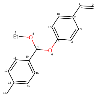 C=Cc1ccc(OC(OCC)c2ccc(C)cc2)cc1